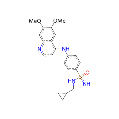 COc1cc2nccc(Nc3ccc(S(=N)(=O)NCC4CC4)cc3)c2cc1OC